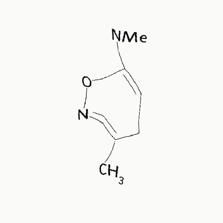 CNC1=CCC(C)=NO1